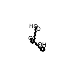 O=C(O)CCCCCCN1C(=O)CC[C@@H]1C=C[C@@H](O)Cc1ccccc1